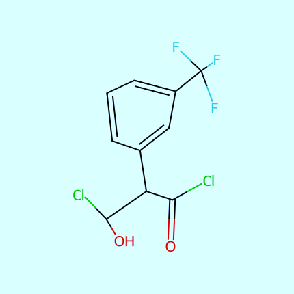 O=C(Cl)C(c1cccc(C(F)(F)F)c1)C(O)Cl